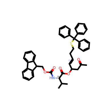 CC(=O)CC(/C=C/CCSC(c1ccccc1)(c1ccccc1)c1ccccc1)OC(=O)[C@@H](NC(=O)OCC1c2ccccc2-c2ccccc21)C(C)C